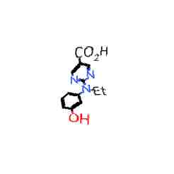 CCN(c1cccc(O)c1)c1ncc(C(=O)O)cn1